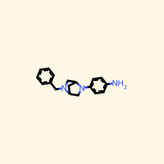 Nc1ccc(N2CC3CC2CN3Cc2ccccc2)cc1